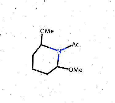 COC1CCCC(OC)N1C(C)=O